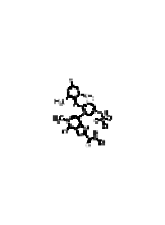 CCNC(=O)c1cc2c(=O)n(C)cc(-c3cc(NS(=O)(=O)CC)cnc3Oc3c(C)cc(F)cc3C)c2o1